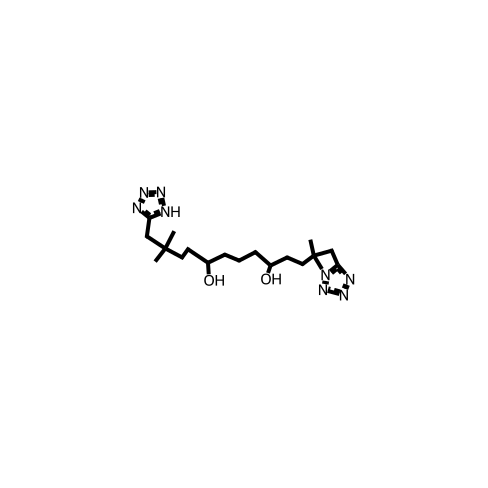 CC(C)(CCC(O)CCCC(O)CCC1(C)Cc2nnnn21)Cc1nnn[nH]1